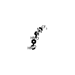 O=C(Nc1ccc(C2CNCCO2)cc1)c1ccn(-c2ncc(C(F)(F)F)cn2)n1